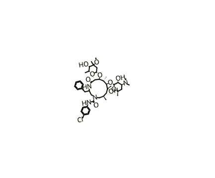 COC1(C)CC(O[C@H]2[C@H](C)[C@@H](OC3O[C@H](C)C[C@H](N(C)C)[C@H]3O)[C@](C)(O)C[C@@H](C)CN(C(=O)Nc3ccc(Cl)cc3)CC(Cc3ccccc3)NC(=O)[C@@H]2C)OC(C)[C@@H]1O